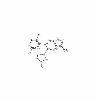 O=[N+]([O-])c1cnc2ccc(N3CC(F)C[C@@H]3c3cc(F)ccc3F)nn12